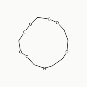 C1COCCOCCOCCOCC[N]1